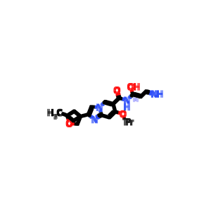 CC(C)Oc1cc2nc(C34COC(C)(C3)C4)cn2cc1C(=O)N/C(O)=C/C=N